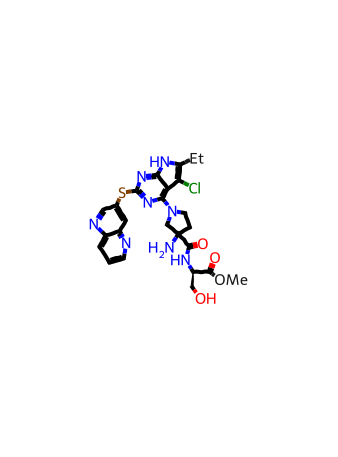 CCc1[nH]c2nc(Sc3cnc4cccnc4c3)nc(N3CCC(N)(C(=O)N[C@H](CO)C(=O)OC)C3)c2c1Cl